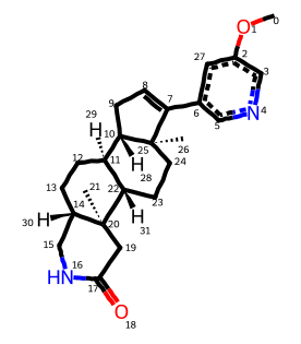 COc1cncc(C2=CC[C@H]3[C@@H]4CC[C@H]5CNC(=O)C[C@]5(C)[C@H]4CC[C@]23C)c1